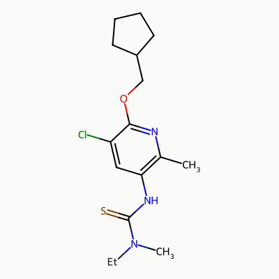 CCN(C)C(=S)Nc1cc(Cl)c(OCC2CCCC2)nc1C